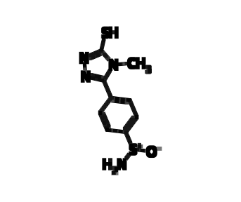 Cn1c(S)nnc1-c1ccc([S+](N)[O-])cc1